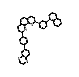 c1cc(-c2ccc3ccc4ccc(-c5ccc(-c6ccc7nccnc7c6)cc5)nc4c3n2)cc(-c2cccc3ccccc23)c1